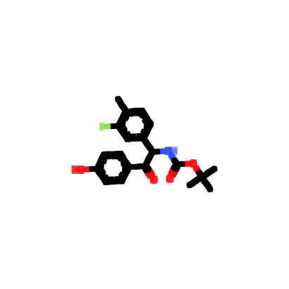 Cc1ccc(C(NC(=O)OC(C)(C)C)C(=O)c2ccc(O)cc2)cc1F